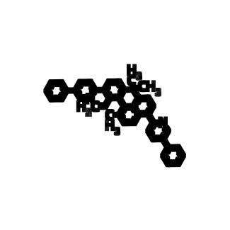 C=Cc1c(-c2ccc(-c3ccccc3)cn2)ccc2c1-c1c(C)ccc3c(-c4ccc(-c5ccccc5)cn4)ccc(c13)C2(C)C